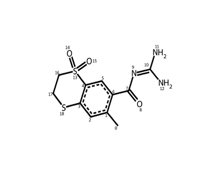 Cc1cc2c(cc1C(=O)N=C(N)N)S(=O)(=O)CCS2